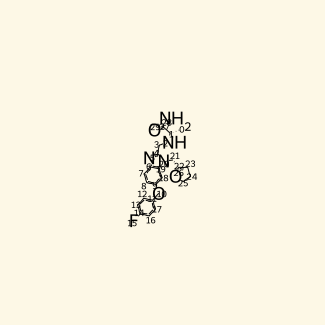 C[C@H](NCc1nc2ccc(Oc3ccc(F)cc3)cc2n1C[C@@H]1CCCO1)C(N)=O